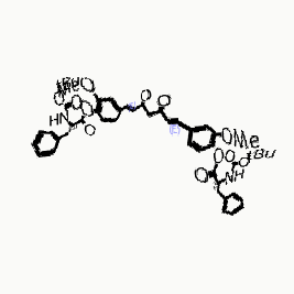 COc1cc(/C=C/C(=O)CC(=O)/C=C/c2ccc(OC(=O)[C@H](Cc3ccccc3)NC(=O)OC(C)(C)C)c(OC)c2)ccc1OC(=O)[C@H](Cc1ccccc1)NC(=O)OC(C)(C)C